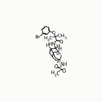 CC(C)(Oc1cccc(Br)c1)C(=O)N[C@H]1[C@@H]2CC3C[C@H]1C[C@](NS(C)(=O)=O)(C3)C2